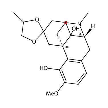 COc1ccc2c(c1O)[C@]13CCN(C)[C@H](C2)C1(O)CCC1(C3)OCC(C)O1